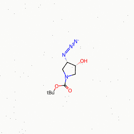 CC(C)(C)OC(=O)N1C[C@@H](O)[C@@H](N=[N+]=[N-])C1